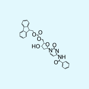 O=C(OCC1c2ccccc2-c2ccccc21)OC[C@H]1O[C@@H](n2ccc(NC(=O)c3ccccc3)nc2=O)C[C@@H]1O